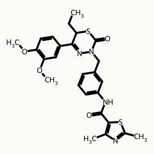 CCC1SC(=O)N(Cc2cccc(NC(=O)c3sc(C)nc3C)c2)N=C1c1ccc(OC)c(OC)c1